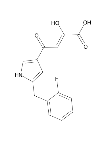 O=C(O)C(O)=CC(=O)c1c[nH]c(Cc2ccccc2F)c1